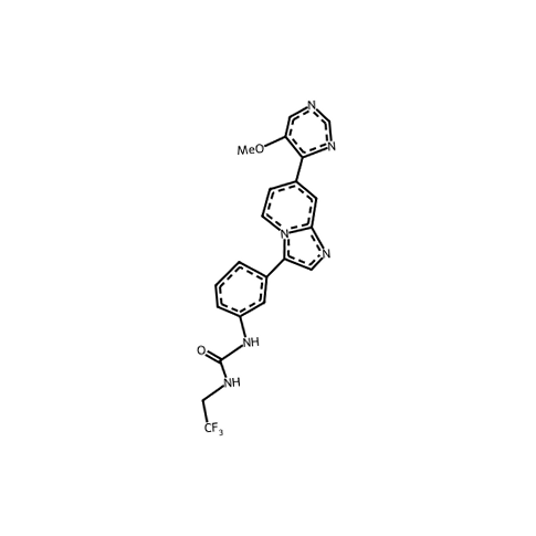 COc1cncnc1-c1ccn2c(-c3cccc(NC(=O)NCC(F)(F)F)c3)cnc2c1